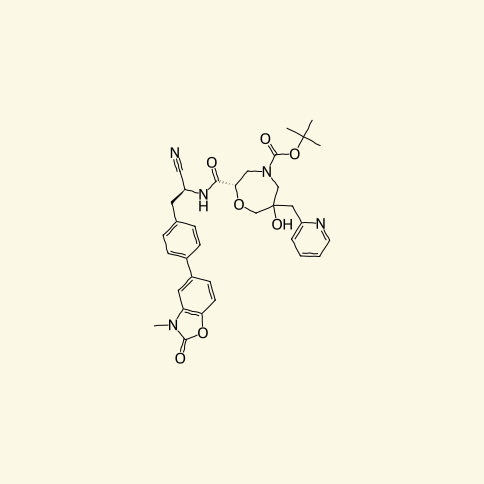 Cn1c(=O)oc2ccc(-c3ccc(C[C@@H](C#N)NC(=O)[C@@H]4CN(C(=O)OC(C)(C)C)CC(O)(Cc5ccccn5)CO4)cc3)cc21